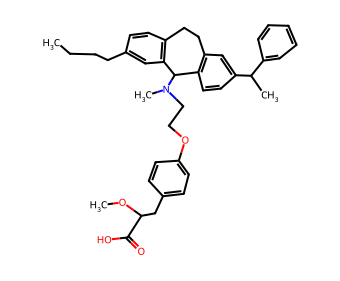 CCCCc1ccc2c(c1)C(N(C)CCOc1ccc(CC(OC)C(=O)O)cc1)c1ccc(C(C)c3ccccc3)cc1CC2